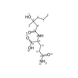 CCCC(C)(O)CC(=O)NC(CCC(N)=O)C(=O)O